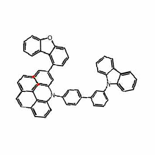 c1cc(-c2cccc3oc4ccccc4c23)cc(N(c2ccc(-c3cccc(-n4c5ccccc5c5ccccc54)c3)cc2)c2cccc3ccc4ccccc4c23)c1